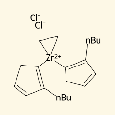 CCCCC1=[C]([Zr+2]2([C]3=C(CCCC)C=CC3)[CH2][CH2]2)CC=C1.[Cl-].[Cl-]